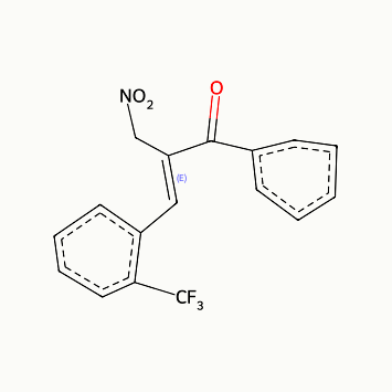 O=C(/C(=C/c1ccccc1C(F)(F)F)C[N+](=O)[O-])c1ccccc1